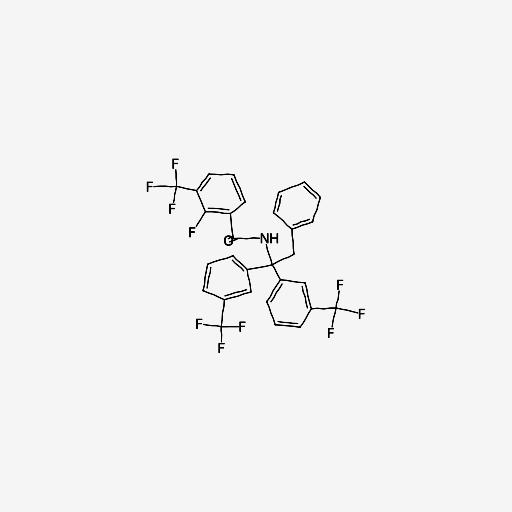 O=C(NC(Cc1ccccc1)(c1cccc(C(F)(F)F)c1)c1cccc(C(F)(F)F)c1)c1cccc(C(F)(F)F)c1F